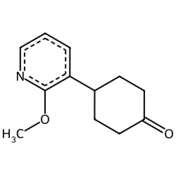 COc1ncccc1C1CCC(=O)CC1